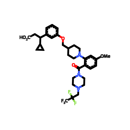 COc1ccc(C(=O)N2CCN(CC(F)(F)C(F)(F)F)CC2)c(N2CCC(COc3cccc(C(CC(=O)O)C4CC4)c3)CC2)c1